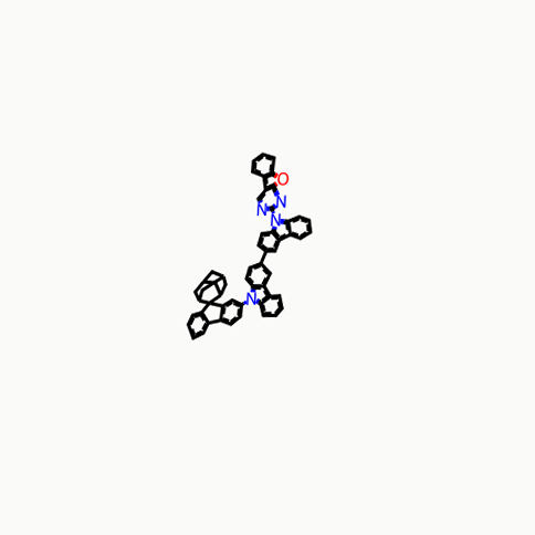 c1ccc2c(c1)-c1ccc(-n3c4ccccc4c4cc(-c5ccc6c(c5)c5ccccc5n6-c5ncc6c(n5)oc5ccccc56)ccc43)cc1C21C2CC3CC(C2)CC1C3